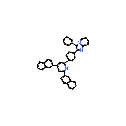 c1ccc(-c2c(-c3ccc(-c4cc(-c5ccc6ccccc6c5)cc(-c5ccc6ccccc6c5)n4)cc3)nc3ccccn23)cc1